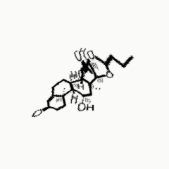 CCCC1O[C@@H]2C[C@H]3[C@@H]4CCC5=CC(=O)CC[C@]5(C)[C@H]4[C@@H](O)C[C@]3(C)[C@]2(C(=O)O)O1